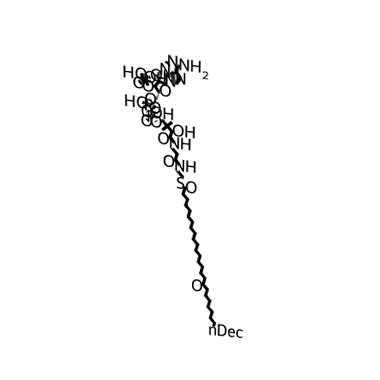 CCCCCCCCCCCCCCCCCC(=O)CCCCCCCCCCCCCCCCC(=O)SCCNC(=O)CCNC(=O)[C@H](O)C(C)(C)COP(=O)(O)OP(=O)(O)OC[C@H]1O[C@@H](n2cnc3c(N)ncnc32)[C@H](O)[C@@H]1OP(=O)(O)O